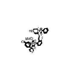 COC(=O)NC(C(=O)Nc1cccc(F)c1CC[C@H]1CNC[C@H](C)N1S(=O)(=O)c1ccccc1)C1(c2ccc(Cl)cc2)CCOCC1